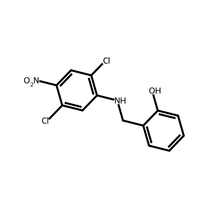 O=[N+]([O-])c1cc(Cl)c(NCc2ccccc2O)cc1Cl